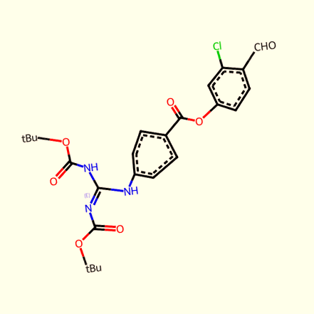 CC(C)(C)OC(=O)/N=C(/NC(=O)OC(C)(C)C)Nc1ccc(C(=O)Oc2ccc(C=O)c(Cl)c2)cc1